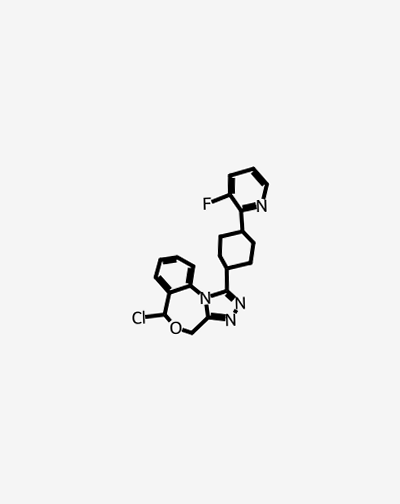 Fc1cccnc1C1CCC(c2nnc3n2-c2ccccc2C(Cl)OC3)CC1